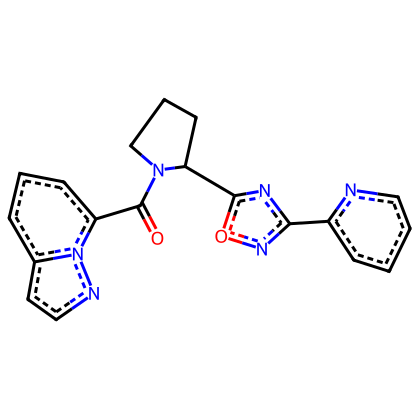 O=C(c1cccc2ccnn12)N1CCCC1c1nc(-c2ccccn2)no1